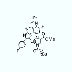 COC(=O)C1CN(C(=O)OC(C)(C)C)CCN1c1cc(F)c2nc(C(C)C)cc(N(C)c3nc(-c4ccc(F)cc4)c(C#N)s3)c2c1